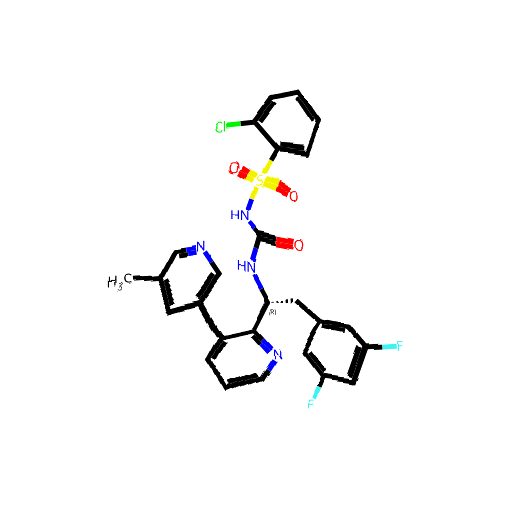 Cc1cncc(-c2cccnc2[C@@H](Cc2cc(F)cc(F)c2)NC(=O)NS(=O)(=O)c2ccccc2Cl)c1